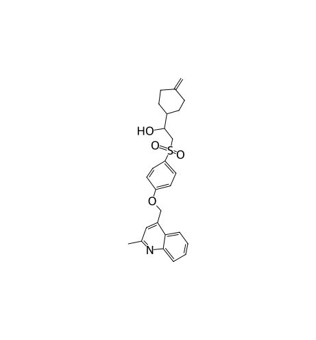 C=C1CCC(C(O)CS(=O)(=O)c2ccc(OCc3cc(C)nc4ccccc34)cc2)CC1